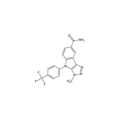 Cn1nnc2c3cc(C(N)=O)ccc3n(-c3ccc(C(F)(F)F)cc3)c21